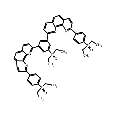 CCP(=O)(CC)c1ccc(-c2ccc3ccc4ccc(-c5cc(-c6ccc7ccc8ccc(-c9ccc(P(=O)(CC)CC)cc9)nc8c7n6)cc(P(=O)(CC)CC)c5)nc4c3n2)cc1